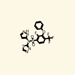 O=S(=O)(c1ccc(C(F)(F)F)c(Oc2ccccc2)c1F)N(c1ccn[nH]1)c1nncs1